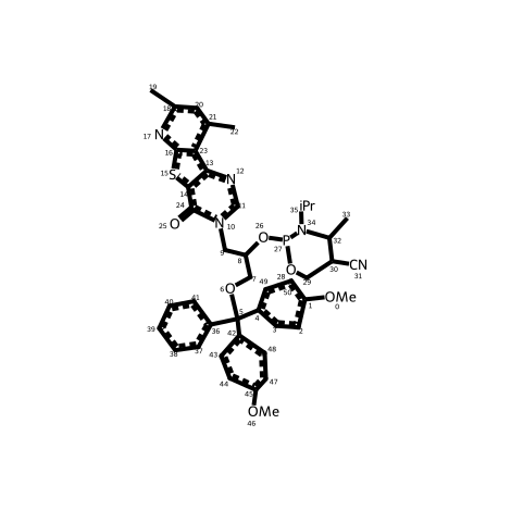 COc1ccc(C(OCC(Cn2cnc3c(sc4nc(C)cc(C)c43)c2=O)OP2OCC(C#N)C(C)N2C(C)C)(c2ccccc2)c2ccc(OC)cc2)cc1